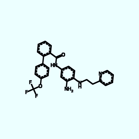 Nc1cc(NC(=O)c2ccccc2-c2ccc(OC(F)(F)F)cc2)ccc1NCCc1ccccn1